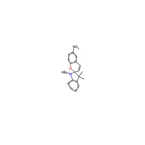 CCCCN1c2ccccc2C(C)(C)C12C=Cc1cc([N+](=O)[O-])ccc1O2